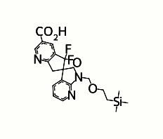 C[Si](C)(C)CCOCN1C(=O)C2(Cc3ncc(C(=O)O)cc3C2(F)F)c2cccnc21